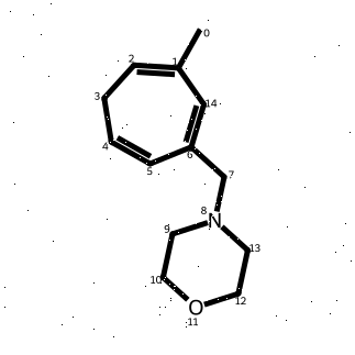 CC1=CCC=CC(CN2CCOCC2)=C1